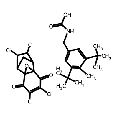 Cc1c(C(C)(C)C)cc(CNC(=O)O)cc1C(C)(C)C.O=C1C(Cl)=C(Cl)C(=O)C23OC12C1CC3C(Cl)C1Cl